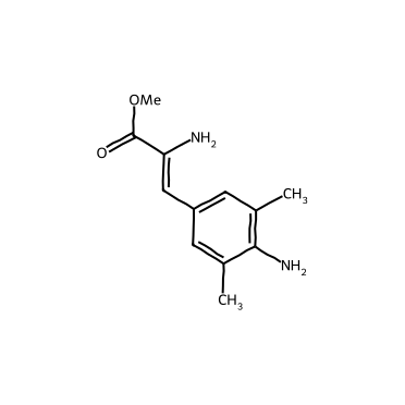 COC(=O)C(N)=Cc1cc(C)c(N)c(C)c1